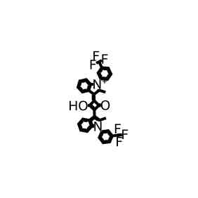 CC1=[N+](c2cccc(C(F)(F)F)c2)c2ccccc2/C1=C1/C(=O)C(c2c(C)n(-c3cccc(C(F)(F)F)c3)c3ccccc23)=C1O